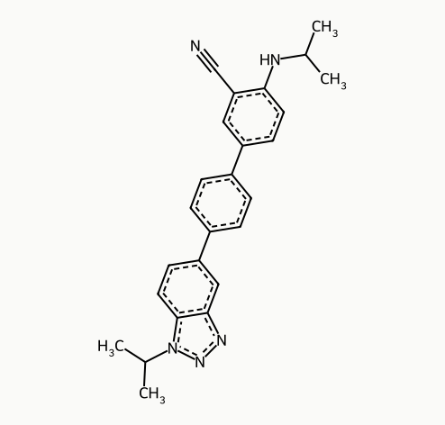 CC(C)Nc1ccc(-c2ccc(-c3ccc4c(c3)nnn4C(C)C)cc2)cc1C#N